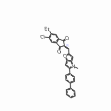 CCc1cc2c(cc1Cl)C(=O)/C(=C\c1cc3c(cc(-c4ccc(-c5ccccc5)cc4)n3C)o1)C2=O